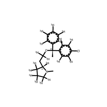 [2H]c1c([2H])c([2H])c([C@@](C)(OC([2H])([2H])C[C@]2([2H])N(C)C([2H])([2H])C([2H])([2H])C2([2H])[2H])c2c([2H])c([2H])c(Cl)c([2H])c2[2H])c([2H])c1[2H]